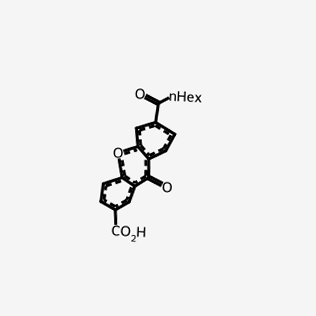 CCCCCCC(=O)c1ccc2c(=O)c3cc(C(=O)O)ccc3oc2c1